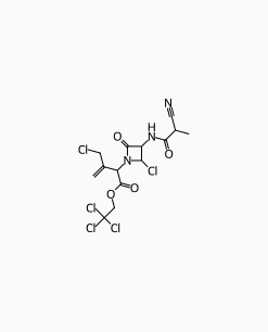 C=C(CCl)C(C(=O)OCC(Cl)(Cl)Cl)N1C(=O)C(NC(=O)C(C)C#N)C1Cl